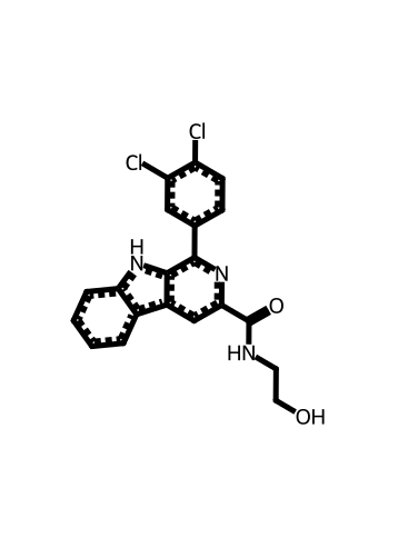 O=C(NCCO)c1cc2c([nH]c3ccccc32)c(-c2ccc(Cl)c(Cl)c2)n1